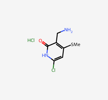 CSc1cc(Cl)[nH]c(=O)c1CN.Cl